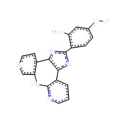 COc1cc(OC(F)(F)F)ccc1-c1nc2c([nH]1)-c1ccncc1Nc1ncccc1-2